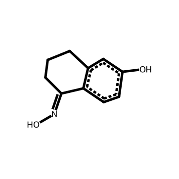 O/N=C1\CCCc2cc(O)ccc21